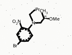 CO[C@H](C)CN(CC(C)C)c1ccc(Br)cc1[N+](=O)[O-]